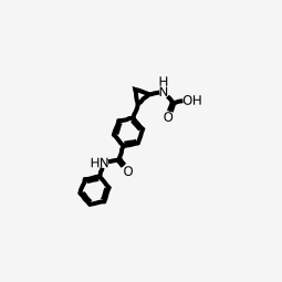 O=C(O)NC1CC1c1ccc(C(=O)Nc2ccccc2)cc1